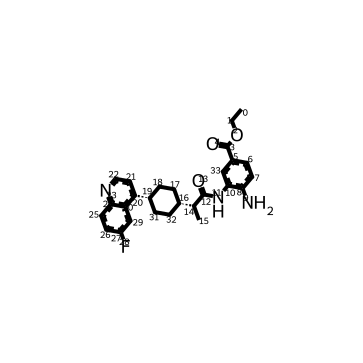 CCOC(=O)c1ccc(N)c(NC(=O)C(C)[C@H]2CC[C@@H](c3ccnc4ccc(F)cc43)CC2)c1